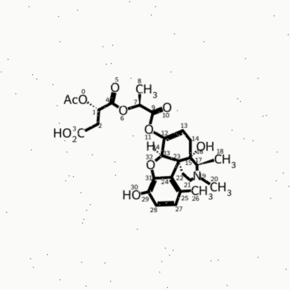 CC(=O)O[C@@H](CC(=O)O)C(=O)O[C@@H](C)C(=O)OC1=CC[C@@]2(O)[C@@H](C)N(C)CC[C@@]23c2c(C)ccc(O)c2O[C@@H]13